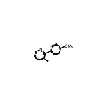 COc1ccc(-c2ncccc2F)nc1